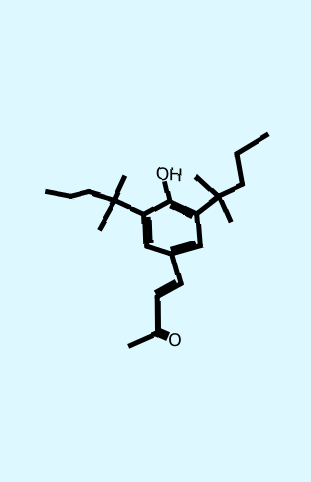 CCCC(C)(C)c1cc(C=CC(C)=O)cc(C(C)(C)CCC)c1O